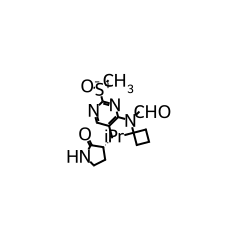 CC(C)C1(N(C=O)c2nc([S+](C)[O-])ncc2C[C@@H]2CCNC2=O)CCC1